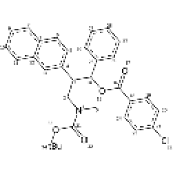 CN(CC(c1ccc2ccccc2c1)C(OC(=O)c1ccc(Cl)cc1)c1ccccc1)C(=O)OC(C)(C)C